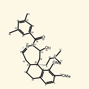 COc1ccc2c(c1OC)[C@]1(CCN(C)C)CC(O)N(C(=O)c3cc(C)cc(C)c3)/N=C\CC1CC2